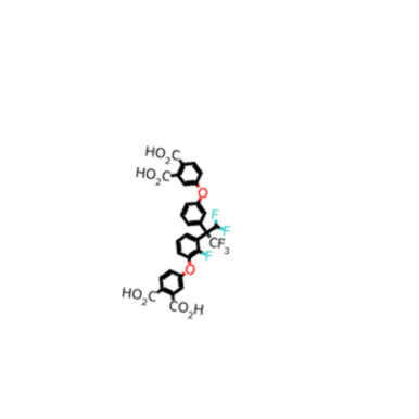 O=C(O)c1ccc(Oc2cccc(C([C](F)F)(c3cccc(Oc4ccc(C(=O)O)c(C(=O)O)c4)c3F)C(F)(F)F)c2)cc1C(=O)O